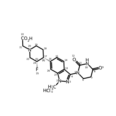 Cl.Cn1nc(N2CCC(=O)NC2=O)c2ccc([C@H]3CCN(CC(=O)O)C[C@H]3F)cc21